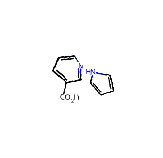 O=C(O)c1cccnc1.c1cc[nH]c1